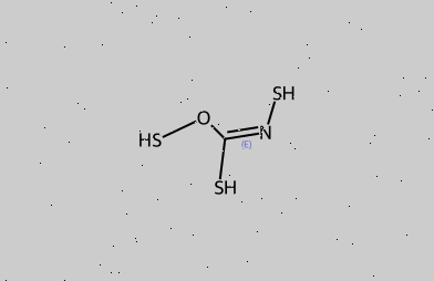 S/N=C(/S)OS